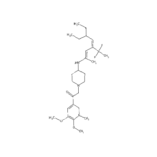 CCC(/C=C(\C=C(/C)NC1CCN(CC(=O)C2=CC(OC)=C(OC)N(C)C2)CC1)C(C)(F)F)CC